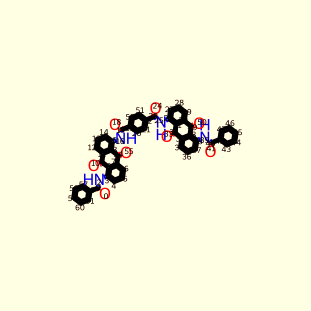 O=C(Nc1cccc2c1C(=O)c1cccc(NC(=O)c3ccc(C(=O)Nc4cccc5c4C(=O)c4cccc(NC(=O)c6ccccc6)c4C5=O)cc3)c1C2=O)c1ccccc1